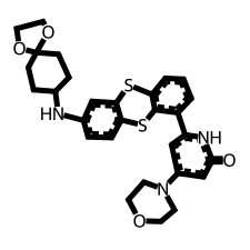 O=c1cc(N2CCOCC2)cc(-c2cccc3c2Sc2ccc(NC4CCC5(CC4)OCCO5)cc2S3)[nH]1